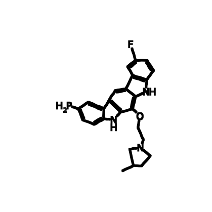 CC1CCN(CCOc2c3[nH]c4ccc(F)cc4c3cc3c2[nH]c2ccc(P)cc23)C1